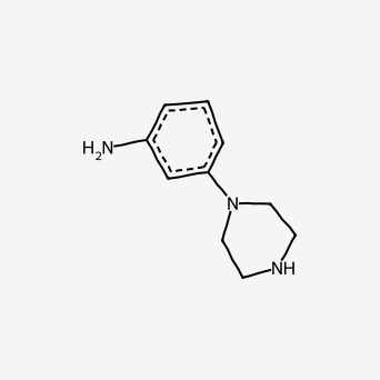 Nc1cccc(N2CCNCC2)c1